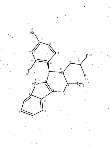 C[C@@H]1Cc2c([nH]c3ccccc23)[C@@H](c2ccc(Br)cc2F)N1CC(F)F